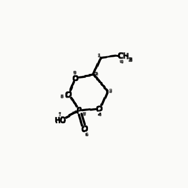 CCC1COP(=O)(O)OO1